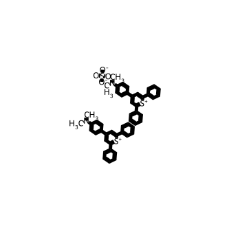 CN(C)c1ccc(-c2cc(-c3ccccc3)[s+]c(-c3ccccc3)c2)cc1.CN(C)c1ccc(-c2cc(-c3ccccc3)[s+]c(-c3ccccc3)c2)cc1.O=S(=O)([O-])[O-]